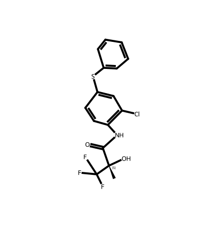 C[C@](O)(C(=O)Nc1ccc(Sc2ccccc2)cc1Cl)C(F)(F)F